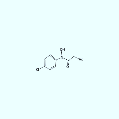 CC(=O)CC(=O)N(O)c1ccc(Cl)cc1